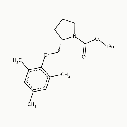 Cc1cc(C)c(OC[C@@H]2CCCN2C(=O)OC(C)(C)C)c(C)c1